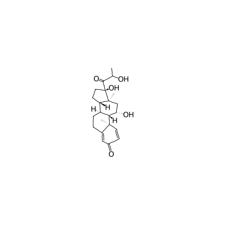 CC(O)C(=O)[C@@]1(O)CC[C@H]2[C@@H]3CCC4=CC(=O)C=C[C@]4(C)[C@H]3[C@@H](O)C[C@@]21C